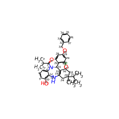 CC(C)C(=O)N1c2cccc(O)c2NC2=C(C(=O)CC(C)(C(C)C)C2)C1c1ccc(OCc2ccccc2)cc1F